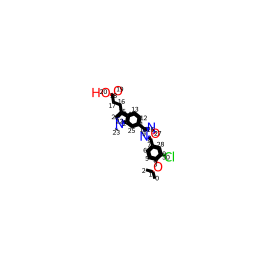 CC(C)Oc1ccc(-c2nc(-c3ccc4c(CCC(=O)O)cn(C)c4c3)no2)cc1Cl